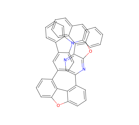 c1ccc(-n2c3ccccc3c3cc(-c4cccc5oc6cccc(-c7cnc8c(n7)oc7ccc9ccccc9c78)c6c45)ccc32)cc1